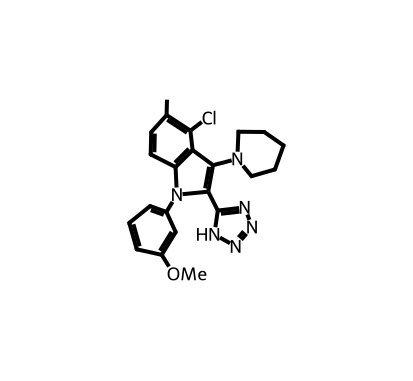 COc1cccc(-n2c(-c3nnn[nH]3)c(N3CCCCC3)c3c(Cl)c(C)ccc32)c1